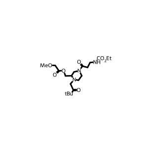 CCOC(=O)NCCC(=O)N1CCN(CC(=O)C(C)(C)C)C(COC(=O)COC)C1